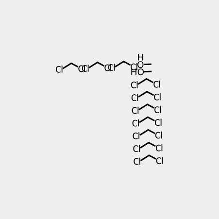 CO.CO.ClCCl.ClCCl.ClCCl.ClCCl.ClCCl.ClCCl.ClCCl.ClCCl.ClCCl.ClCCl